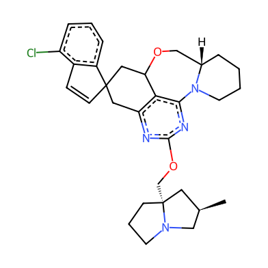 C[C@H]1CN2CCC[C@@]2(COc2nc3c4c(n2)N2CCCC[C@H]2COC4CC2(C=Cc4c(Cl)cccc42)C3)C1